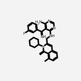 C=C1c2c(C)cccc2C=C(CNc2ncnc(N)c2C(=N)c2cccc(F)c2)N1C1CCCCC1